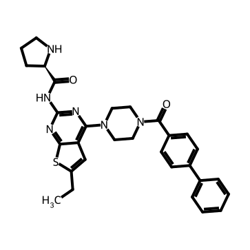 CCc1cc2c(N3CCN(C(=O)c4ccc(-c5ccccc5)cc4)CC3)nc(NC(=O)[C@H]3CCCN3)nc2s1